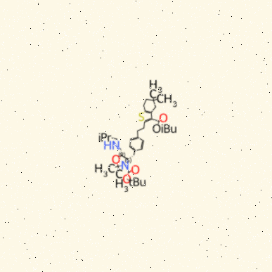 CC(C)CNC[C@H]1OC(C)(C)N(C(=O)OC(C)(C)C)[C@H]1Cc1ccc(CCc2sc3c(c2C(=O)OCC(C)C)CC(C)(C)CC3)cc1